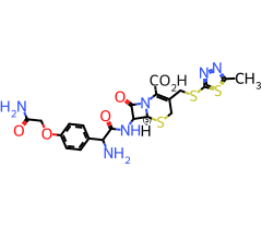 Cc1nnc(SCC2=C(C(=O)O)N3C(=O)C(NC(=O)C(N)c4ccc(OCC(N)=O)cc4)[C@@H]3SC2)s1